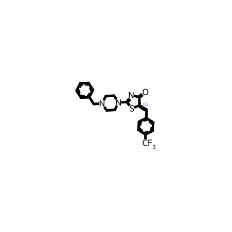 O=C1N=C(N2CCN(Cc3ccccc3)CC2)S/C1=C\c1ccc(C(F)(F)F)cc1